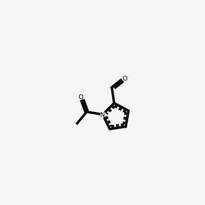 CC(=O)n1cccc1[C]=O